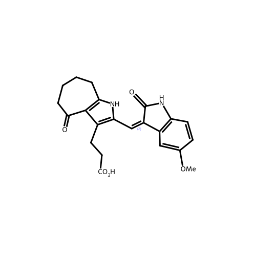 COc1ccc2c(c1)/C(=C/c1[nH]c3c(c1CCC(=O)O)C(=O)CCCC3)C(=O)N2